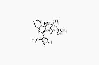 Cc1n[nH]cc1-c1nc(NC(C)(C)CC(C)(C)O)c2ccncc2n1